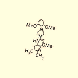 COc1cccc(OC)c1N1CCN(C(=S)Nc2cc(C)c(C)nc2OC)CC1